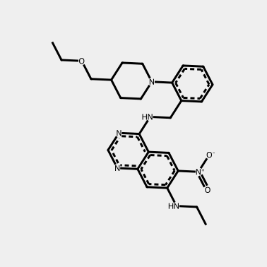 CCNc1cc2ncnc(NCc3ccccc3N3CCC(COCC)CC3)c2cc1[N+](=O)[O-]